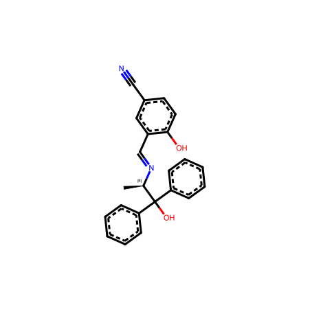 C[C@@H](N=Cc1cc(C#N)ccc1O)C(O)(c1ccccc1)c1ccccc1